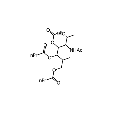 CCCC(=O)OCC(C)C(OC(=O)CCC)C(OC(=O)CCC)C(NC(C)=O)C(C)O